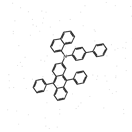 c1ccc(-c2ccc(N(c3ccc4c(-c5ccccc5)c5ccccc5c(-c5ccccc5)c4c3)c3cccc4ccccc34)cc2)cc1